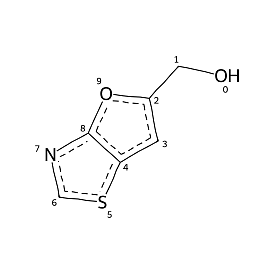 OCc1cc2scnc2o1